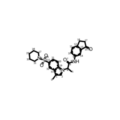 Cc1cn(C(C)C(=O)Nc2ccc3c(c2)C(=O)CC3)c2ccc(S(=O)(=O)N3CCCCC3)cc12